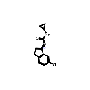 O=C(/C=C1\CCc2ccc(Cl)cc21)NC1CC1